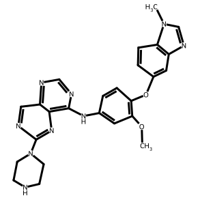 COc1cc(Nc2ncnc3cnc(N4CCNCC4)nc23)ccc1Oc1ccc2c(c1)ncn2C